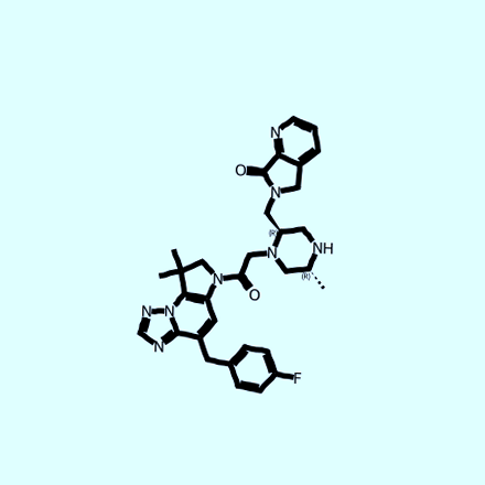 C[C@@H]1CN(CC(=O)N2CC(C)(C)c3c2cc(Cc2ccc(F)cc2)c2ncnn32)[C@@H](CN2Cc3cccnc3C2=O)CN1